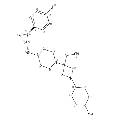 N#CCC1(N2CCC(N[C@@H]3C[C@H]3c3ccc(F)cc3)CC2)CN(C2CCC(O)CC2)C1